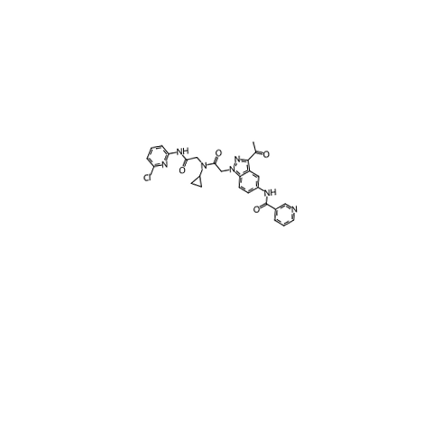 CC(=O)c1nn(CC(=O)N(CC(=O)Nc2cccc(Cl)n2)C2CC2)c2ccc(NC(=O)c3cccnc3)cc12